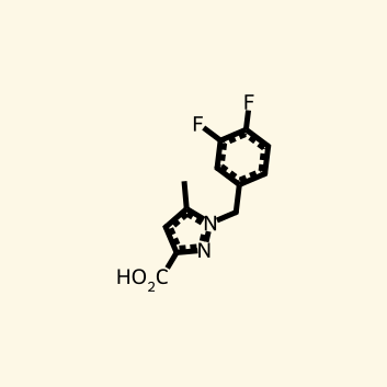 Cc1cc(C(=O)O)nn1Cc1ccc(F)c(F)c1